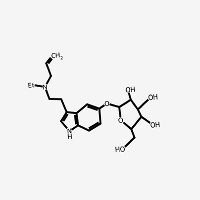 C=CCN(CC)CCc1c[nH]c2ccc(OC3OC(CO)C(O)C(O)C3O)cc12